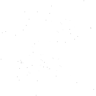 CC=CN1CCC(N2N=C(Nc3ccc(C(=O)Nc4ccccn4)cc3)c3c[nH]c4ncnc2c34)CC1